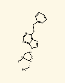 OC[C@H]1O[C@@H](n2cnc3c(OCc4ccccc4)ncnc32)C[C@@H]1F